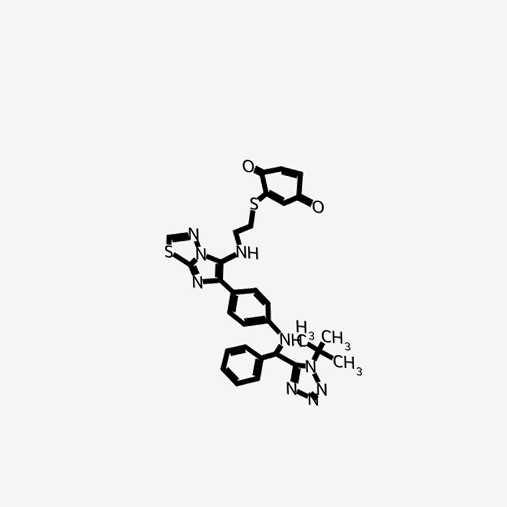 CC(C)(C)n1nnnc1C(Nc1ccc(-c2nc3scnn3c2NCCSC2=CC(=O)C=CC2=O)cc1)c1ccccc1